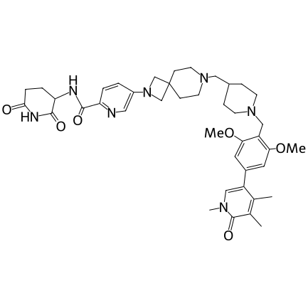 COc1cc(-c2cn(C)c(=O)c(C)c2C)cc(OC)c1CN1CCC(CN2CCC3(CC2)CN(c2ccc(C(=O)NC4CCC(=O)NC4=O)nc2)C3)CC1